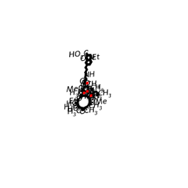 CC[C@H]1OC(=O)[C@H](C)[C@@H](O[C@H]2C[C@@](C)(OC)[C@@H](OS(=O)(=O)CCNCCCc3ccc4c(c3)c(=O)c(C(=O)O)cn4CC)[C@H](C)O2)[C@H](C)[C@@H](O[C@@H]2O[C@H](C)C[C@H](N(C)C)[C@H]2O)[C@](C)(OC)C[C@@H](C)C(=O)[C@H](C)[C@@H](O)[C@]1(C)O